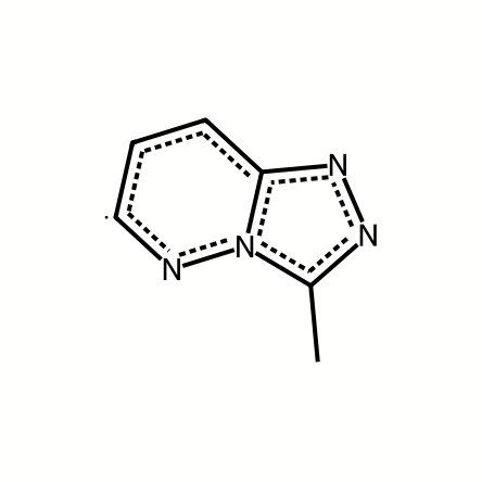 Cc1nnc2cc[c]nn12